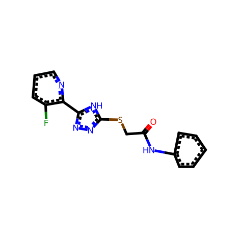 O=C(CSc1nnc(-c2ncccc2F)[nH]1)Nc1ccccc1